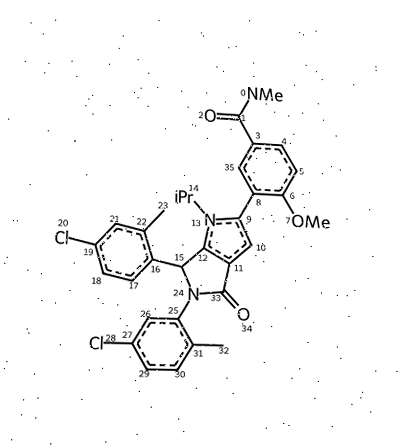 CNC(=O)c1ccc(OC)c(-c2cc3c(n2C(C)C)C(c2ccc(Cl)cc2C)N(c2cc(Cl)ccc2C)C3=O)c1